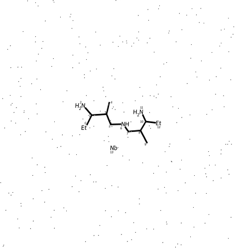 CCC(N)C(C)CNCC(C)C(N)CC.[Nb]